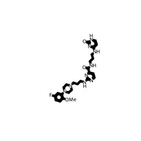 COc1ccc(F)cc1N1CCN(CCCNc2nccc(C(=O)NCCCNc3cc[nH]c(=O)n3)n2)CC1